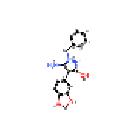 Nc1c(-c2ccc3c(c2)OCO3)c(O)nn1Cc1ccccc1